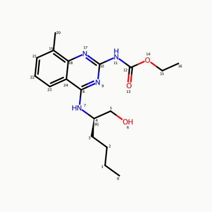 CCCC[C@H](CO)Nc1nc(NC(=O)OCC)nc2c(C)cccc12